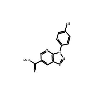 COC(=O)c1cnc2c(c1)nnn2-c1ccc(C#N)cc1